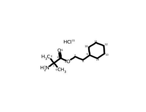 CC(C)(N)C(=O)OCCC1CCCCC1.Cl